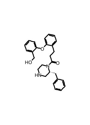 O=C(CCc1ccccc1Oc1ccccc1CO)N1CCNC[C@H]1Cc1ccccc1